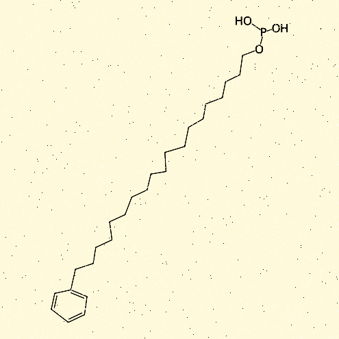 OP(O)OCCCCCCCCCCCCCCCCCCCc1ccccc1